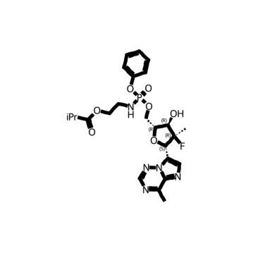 Cc1ncnn2c([C@@H]3O[C@H](COP(=O)(NCCOC(=O)C(C)C)Oc4ccccc4)[C@@H](O)[C@@]3(C)F)cnc12